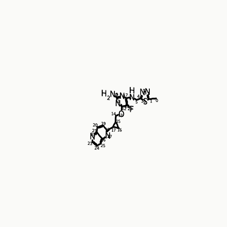 Cc1nnc(CNc2nc(N)nc(OCC3CC3c3ccc4ncccc4n3)c2F)s1